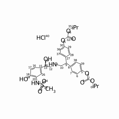 CC(C)OC(=O)Oc1ccc(C(CNC[C@H](O)c2ccc(O)c(NS(C)(=O)=O)c2)c2ccc(OC(=O)OC(C)C)cc2)cc1.Cl